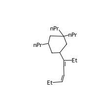 CC/C=C\C=C(/CC)C1CC(CCC)CC(CCC)(CCC)C1